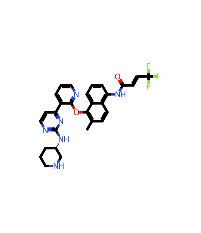 Cc1ccc2c(NC(=O)/C=C/C(F)(F)F)cccc2c1Oc1ncccc1-c1ccnc(N[C@H]2CCCNC2)n1